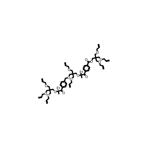 C=CCOCC(COCC=C)(COCC=C)COC(=O)c1ccc(C(=O)C(C)(CC)OCC(COCC=C)(COCC=C)COCc2ccc(C(=O)[C@](C)(CC)OCC(COCC=C)(COCC=C)COCC=C)cc2)cc1